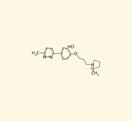 Cc1ccc(-c2ccc(OCCCN3CCC[C@H]3C)cc2)nn1.Cl